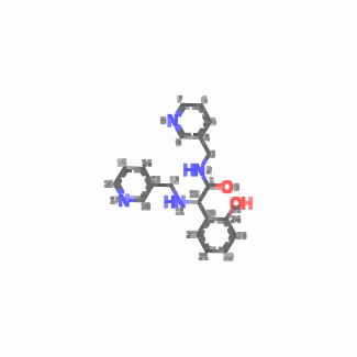 O=C(NCc1cccnc1)C(NCc1cccnc1)c1ccccc1O